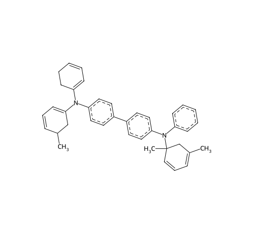 CC1=CC=CC(C)(N(c2ccccc2)c2ccc(-c3ccc(N(C4=CC=CCC4)C4=CC=CC(C)C4)cc3)cc2)C1